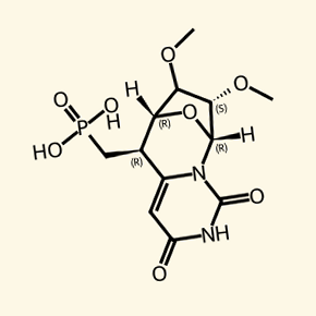 COC1[C@@H]2O[C@H]([C@H]1OC)n1c(cc(=O)[nH]c1=O)[C@H]2CP(=O)(O)O